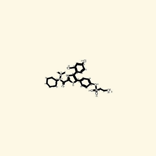 CN(C)N(C(=S)c1nc(-c2ccc(Cl)cc2Cl)c(-c2ccc(OS(=O)(=O)CCC(F)(F)F)cc2)s1)C1CCCCC1